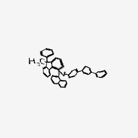 CC1(c2ccccc2)c2ccccc2-c2c(N(c3ccc(-c4ccc(-c5ccccc5)cc4)cc3)c3cccc4ccccc34)cccc21